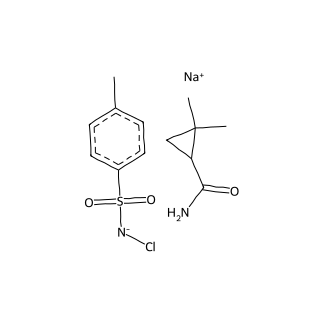 CC1(C)CC1C(N)=O.Cc1ccc(S(=O)(=O)[N-]Cl)cc1.[Na+]